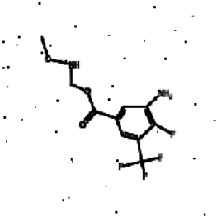 CONCOC(=O)c1cc(N)c(F)c(C(F)(F)F)c1